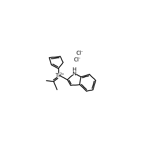 C[C](C)=[Ti+2]([C]1=CC=CC1)[c]1cc2ccccc2[nH]1.[Cl-].[Cl-]